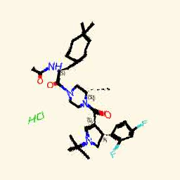 CC(=O)N[C@@H](CC1CCC(C)(C)CC1)C(=O)N1CCN(C(=O)[C@@H]2CN(C(C)(C)C)C[C@H]2c2ccc(F)cc2F)[C@@H](C)C1.Cl